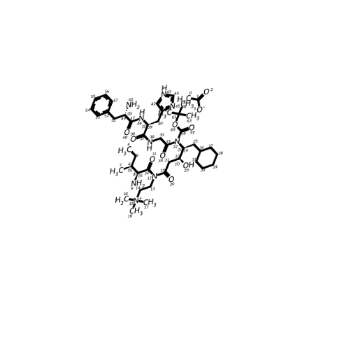 CC(=O)[O-].CC[C@H](C)[C@H](N)C(=O)N(CC[N+](C)(C)C)C(=O)C[C@H](O)[C@H](CC1CCCCC1)N(C(=O)CNC(=O)[C@H](Cc1c[nH]cn1)NC(=O)[C@@H](N)Cc1ccccc1)C(=O)OC(C)(C)C